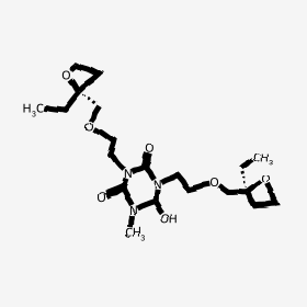 CC[C@@]1(COCCN2C(=O)N(CCOC[C@@]3(CC)CCO3)C(=O)N(C)C2O)CCO1